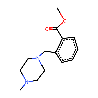 COC(=O)c1ccccc1CN1CCN(C)CC1